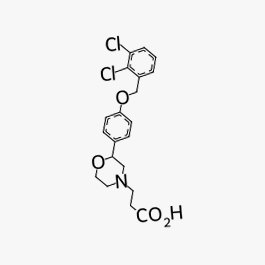 O=C(O)CCN1CCOC(c2ccc(OCc3cccc(Cl)c3Cl)cc2)C1